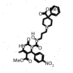 COC(=O)C1=C(C)NC(=O)N(C(=O)N(O)CCCN2CCC(C(=O)OC)(c3ccccc3)CC2)C1c1ccc([N+](=O)[O-])cc1